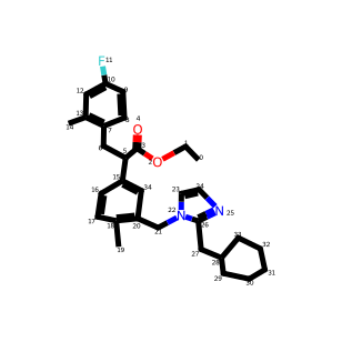 CCOC(=O)C(Cc1ccc(F)cc1C)c1ccc(C)c(Cn2ccnc2CC2CCCCC2)c1